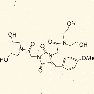 COc1ccc(C=C2C(=O)N(CC(=O)N(CCO)CCO)C(=O)N2CC(=O)N(CCO)CCO)cc1